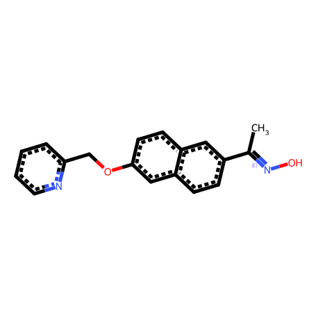 C/C(=N\O)c1ccc2cc(OCc3ccccn3)ccc2c1